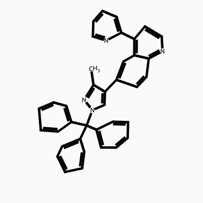 Cc1nn(C(c2ccccc2)(c2ccccc2)c2ccccc2)cc1-c1ccc2nccc(-c3ccccn3)c2c1